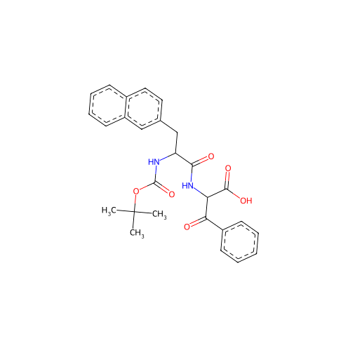 CC(C)(C)OC(=O)NC(Cc1ccc2ccccc2c1)C(=O)NC(C(=O)O)C(=O)c1ccccc1